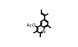 CC=C(C)c1cc(C)c2nc(C)c(C)c(OC(C)=O)c2c1